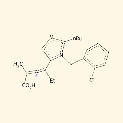 CCCCc1ncc(/C(CC)=C(\C)C(=O)O)n1Cc1ccccc1Cl